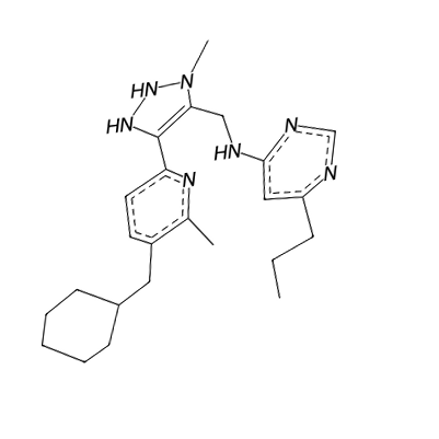 CCCc1cc(NCC2=C(c3ccc(CC4CCCCC4)c(C)n3)NNN2C)ncn1